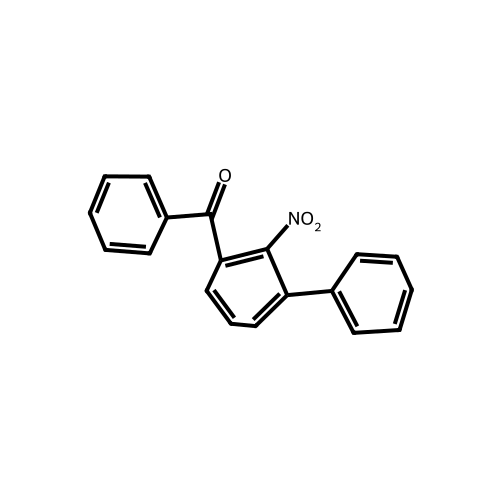 O=C(c1ccccc1)c1cccc(-c2ccccc2)c1[N+](=O)[O-]